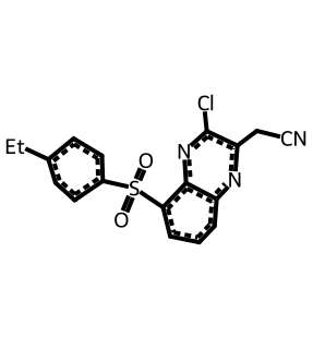 CCc1ccc(S(=O)(=O)c2cccc3nc(CC#N)c(Cl)nc23)cc1